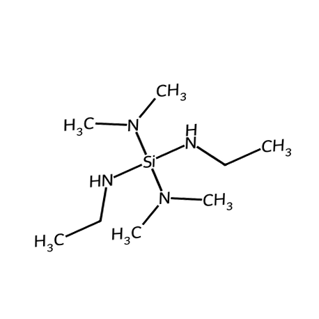 CCN[Si](NCC)(N(C)C)N(C)C